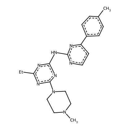 CCc1nc(Nc2nccc(-c3ccc(C)cc3)n2)nc(N2CCN(C)CC2)n1